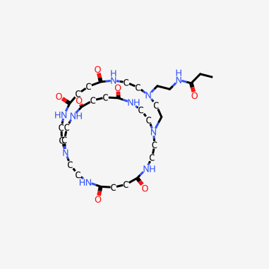 CCC(=O)NCCN1CCNC(=O)CCC(=O)NCCN2CCNC(=O)CCC(=O)NCCN(CCNC(=O)CCC(=O)NCC2)CC1